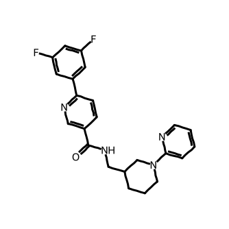 O=C(NCC1CCCN(c2ccccn2)C1)c1ccc(-c2cc(F)cc(F)c2)nc1